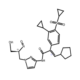 O=N[C@H](CO)Cn1ccc(NC(=O)/C(=C/C2CCCC2)c2ccc(S(=O)(=O)C3CC3)c(C3CC3)c2)n1